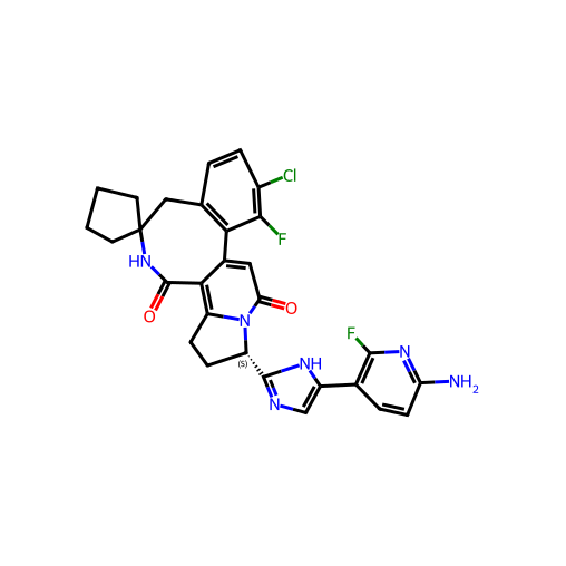 Nc1ccc(-c2cnc([C@@H]3CCc4c5c(cc(=O)n43)-c3c(ccc(Cl)c3F)CC3(CCCC3)NC5=O)[nH]2)c(F)n1